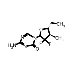 CC[C@H]1OC(n2cnc(N)nc2=O)C(F)(F)[C@@H]1C